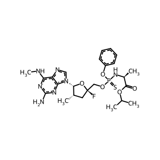 CNc1nc(N)nc2c1ncn2[C@@H]1O[C@](F)(COP(=S)(N[C@@H](C)C(=O)OC(C)C)Oc2ccccc2)C[C@@H]1C